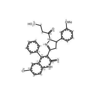 COc1cccc(C2CC(c3c(-c4ccccc4)c4cc(Cl)ccc4[nH]c3=O)=NN2C(=O)CCC(=O)O)c1